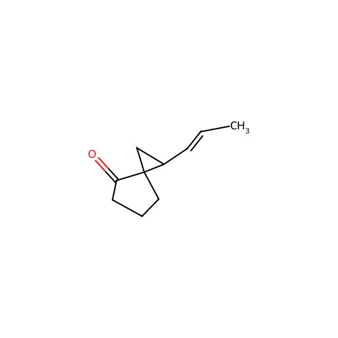 CC=CC1CC12CCCC2=O